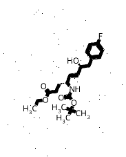 CCOC(=O)CC[C@H](/C=C/[C@@H](O)Cc1ccc(F)cc1)NC(=O)OC(C)(C)C